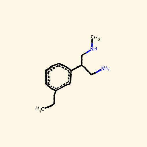 CCc1cccc(C(CN)CNC)c1